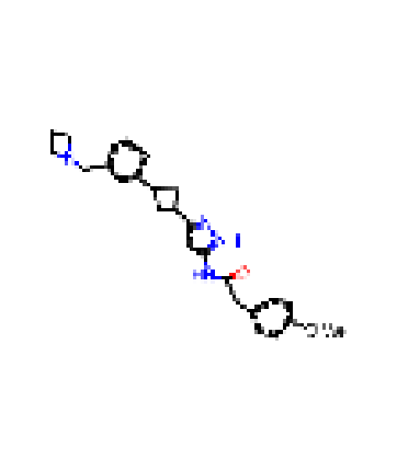 COc1ccc(CC(=O)Nc2cc(C3CC(c4cccc(CN5CCC5)c4)C3)n[nH]2)cc1